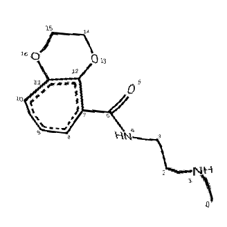 CNCCNC(=O)c1cccc2c1OCCO2